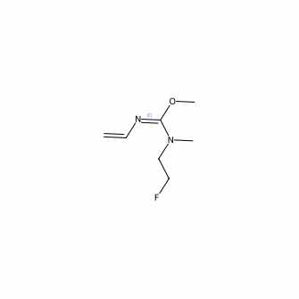 C=C/N=C(/OC)N(C)CCF